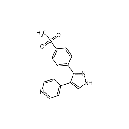 CS(=O)(=O)c1ccc(-c2n[nH]cc2-c2ccncc2)cc1